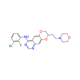 Fc1c(Br)cccc1Nc1ncnc2cc3c(cc12)OCC(CCN1CCOCC1)O3